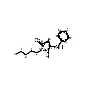 CCCCCn1[nH]c(Nc2ccccc2)cc1=O